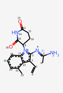 C=Cc1c(/N=C(\C)N)n(C2CCC(=O)NC2=O)c2cccc(C)c12